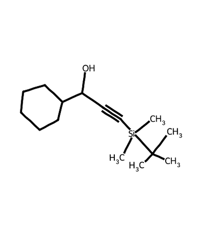 CC(C)(C)[Si](C)(C)C#CC(O)C1CCCCC1